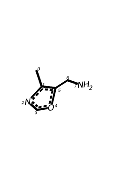 Cc1ncoc1CN